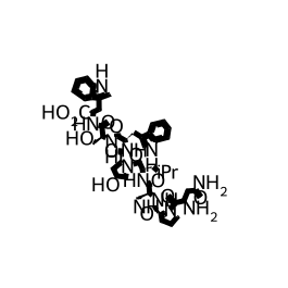 CC(C)C[C@H](NC(=O)[C@H](CN)NC(=O)[C@@H]1CCCN1C(=O)[C@@H](N)CC(N)=O)C(=O)N1C[C@H](O)C[C@H]1C(=O)N[C@@H](Cc1c[nH]c2ccccc12)C(=O)N[C@@H](CO)C(=O)N[C@@H](Cc1c[nH]c2ccccc12)C(=O)O